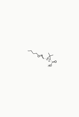 CCCCON=C[C@H]1[C@@H](C(=O)O)C1(C)C